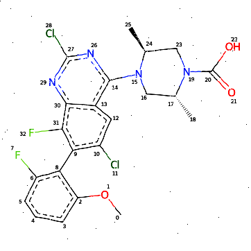 COc1cccc(F)c1-c1c(Cl)cc2c(N3C[C@@H](C)N(C(=O)O)C[C@@H]3C)nc(Cl)nc2c1F